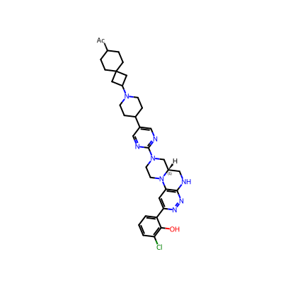 CC(=O)C1CCC2(CC1)CC(N1CCC(c3cnc(N4CCN5c6cc(-c7cccc(Cl)c7O)nnc6NC[C@H]5C4)nc3)CC1)C2